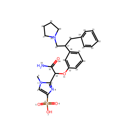 Cn1cc(S(=O)(=O)O)nc1C(Oc1cccc(C(Cc2ccccc2)CN2CCCC2)c1)C(N)=O